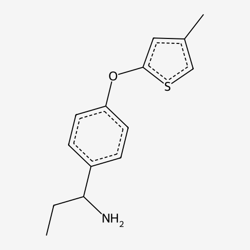 CCC(N)c1ccc(Oc2cc(C)cs2)cc1